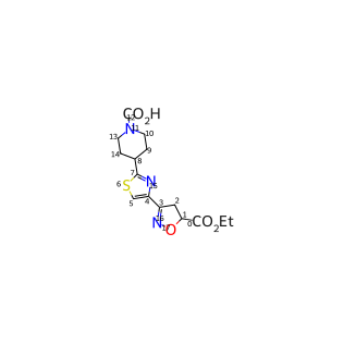 CCOC(=O)C1CC(c2csc(C3CCN(C(=O)O)CC3)n2)=NO1